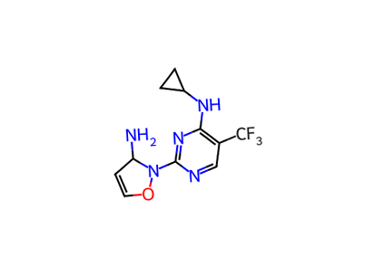 NC1C=CON1c1ncc(C(F)(F)F)c(NC2CC2)n1